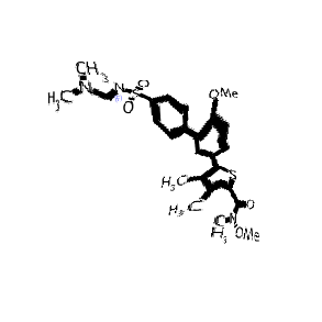 COc1ccc(-c2sc(C(=O)N(C)OC)c(C)c2C)cc1-c1ccc(S(=O)(=O)/N=C/N(C)C)cc1